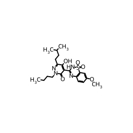 CCCCn1nc(CCC(C)C)c(O)c(C2=Nc3ccc(OC)cc3S(=O)(=O)N2)c1=O